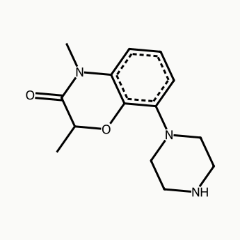 CC1Oc2c(N3CCNCC3)cccc2N(C)C1=O